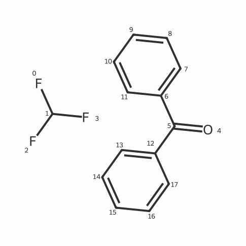 FC(F)F.O=C(c1ccccc1)c1ccccc1